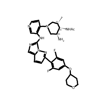 CC(=O)N[C@@H]1[C@H](N)CN(c2ccncc2Nc2ncc3ccc(-c4c(F)cc(OC5CCOCC5)cc4F)nn23)C[C@@H]1C